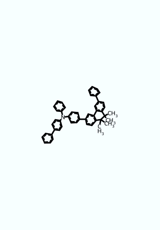 CC1(C)c2ccc(-c3ccccc3)cc2-c2cc(-c3ccc(N(c4ccccc4)c4ccc(-c5ccccc5)cc4)cc3)ccc2C1(C)C